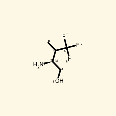 CC([C@H](N)CO)C(F)(F)F